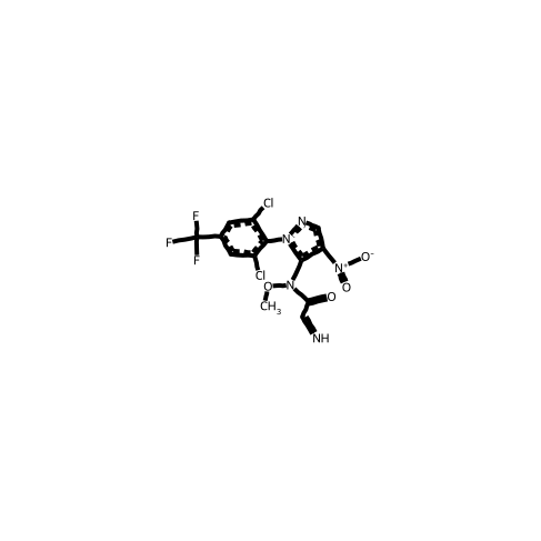 CON(C(=O)C=N)c1c([N+](=O)[O-])cnn1-c1c(Cl)cc(C(F)(F)F)cc1Cl